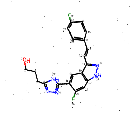 OCCCc1nnc(-c2cc3c(C=Cc4ccc(F)cc4)n[nH]c3cc2F)[nH]1